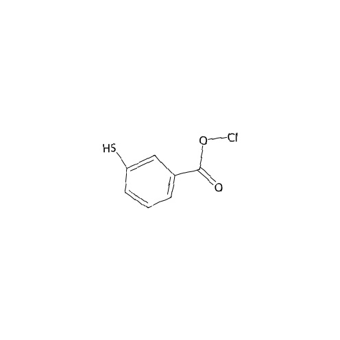 O=C(OCl)c1cccc(S)c1